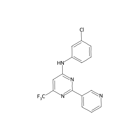 FC(F)(F)c1cc(Nc2cccc(Cl)c2)nc(-c2cccnc2)n1